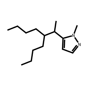 CCCCC(CCCC)C(C)c1ccnn1C